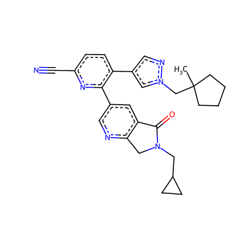 CC1(Cn2cc(-c3ccc(C#N)nc3-c3cnc4c(c3)C(=O)N(CC3CC3)C4)cn2)CCCC1